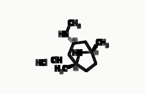 CN[C@@H]1C[C@]2(C)CC[C@](C)(C1)N2.Cl.Cl